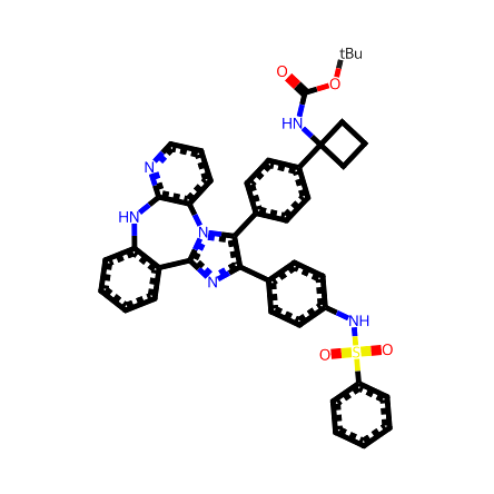 CC(C)(C)OC(=O)NC1(c2ccc(-c3c(-c4ccc(NS(=O)(=O)c5ccccc5)cc4)nc4n3-c3cccnc3Nc3ccccc3-4)cc2)CCC1